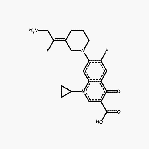 NCC(F)=C1CCCN(c2cc3c(cc2F)c(=O)c(C(=O)O)cn3C2CC2)C1